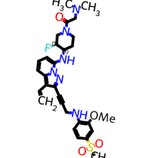 C=Cc1c(C#CCNc2ccc(S(C)(=O)=O)cc2OC)nn2c(N[C@@H]3CCN(C(=O)CN(C)C)C[C@@H]3F)cccc12